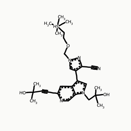 CC(C)(O)C#Cc1cc2c(-c3cn(COCC[SH](C)(C)(C)C)nc3C#N)cn(CC(C)(C)O)c2cn1